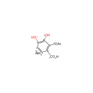 CC(=O)Oc1c(C(=O)O)ccc(O)c1O.[AlH3]